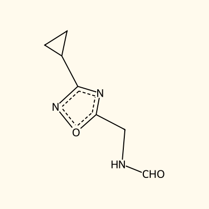 O=CNCc1nc(C2CC2)no1